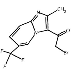 Cc1nc2ccc(C(F)(F)F)cn2c1C(=O)CBr